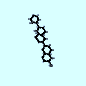 Brc1ccc2cc(-c3ccc4nc(-c5ccccn5)ccc4c3)ccc2n1